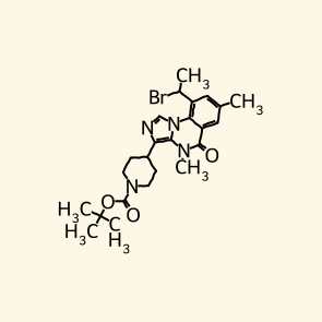 Cc1cc(C(C)Br)c2c(c1)c(=O)n(C)c1c(C3CCN(C(=O)OC(C)(C)C)CC3)ncn21